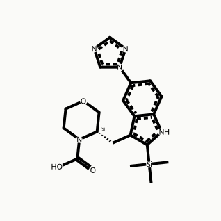 C[Si](C)(C)c1[nH]c2ccc(-n3cncn3)cc2c1C[C@H]1COCCN1C(=O)O